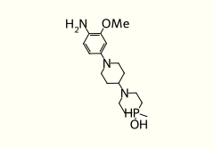 COc1cc(N2CCC(N3CC[PH](C)(O)CC3)CC2)ccc1N